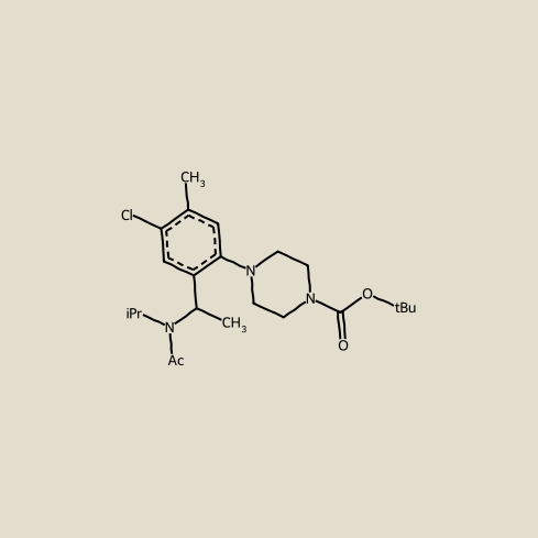 CC(=O)N(C(C)C)C(C)c1cc(Cl)c(C)cc1N1CCN(C(=O)OC(C)(C)C)CC1